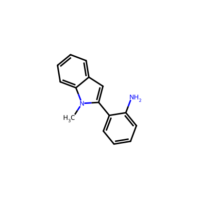 Cn1c(-c2ccccc2N)cc2ccccc21